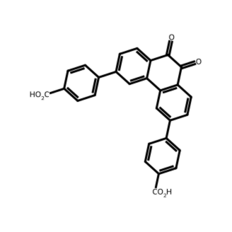 O=C(O)c1ccc(-c2ccc3c(c2)-c2cc(-c4ccc(C(=O)O)cc4)ccc2C(=O)C3=O)cc1